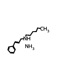 CCCCCCNCC=Cc1ccccc1.N